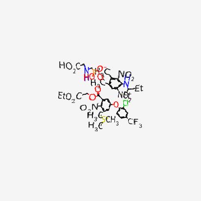 CCC(CC)Nc1c([N+](=O)[O-])cc(C)c(C)c1[N+](=O)[O-].CCOC(=O)COC(=O)c1cc(Oc2ccc(C(F)(F)F)cc2Cl)ccc1[N+](=O)[O-].C[S+](C)C.O=C(O)CNCP(=O)([O-])O